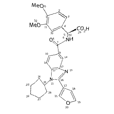 COc1ccc([C@H](NC(=O)c2ccc3c(c2)nc(-c2ccoc2)n3C2CCCCC2)C(=O)O)cc1OC